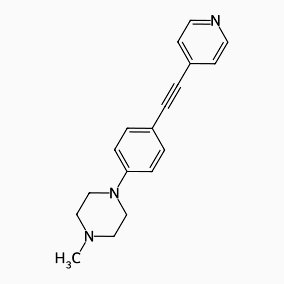 CN1CCN(c2ccc(C#Cc3ccncc3)cc2)CC1